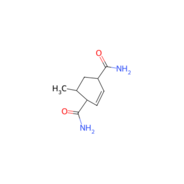 CC1CC(C(N)=O)C=CC1C(N)=O